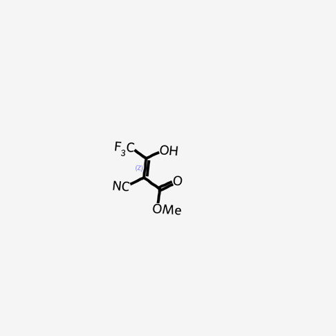 COC(=O)/C(C#N)=C(\O)C(F)(F)F